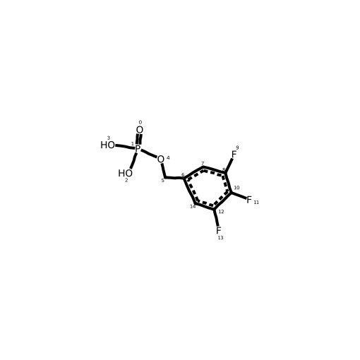 O=P(O)(O)OCc1cc(F)c(F)c(F)c1